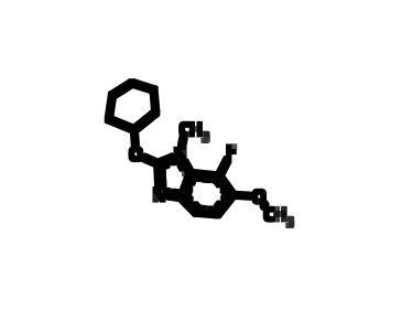 COc1ccc2nc(OC3CCCCC3)n(C)c2c1F